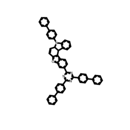 C1=CC2C(c3ccccc3N2c2ccc(-c3ccccc3)cc2)c2c1oc1cc(-c3nc(-c4ccc(-c5ccccc5)cc4)nc(-c4ccc(-c5ccccc5)cc4)n3)ccc21